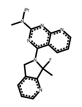 CC(C)N(C)c1nc(N2Cc3cccnc3C2(C)F)c2cccnc2n1